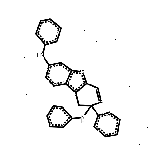 C1=CC(Nc2ccccc2)(c2ccccc2)Cc2c1sc1cc(Nc3ccccc3)ccc21